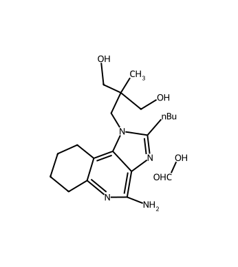 CCCCc1nc2c(N)nc3c(c2n1CC(C)(CO)CO)CCCC3.O=CO